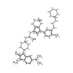 CN(C)c1ccc2c(n1)n(C1CCN(CC(O)Cn3nc(-c4ccc(C(F)(F)F)c(SCCN5CCCCC5)c4)c4c3CCNC4)CC1)c(=O)n2C